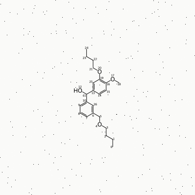 CCCCOCc1cccc(C(O)c2ccc(OC)c(OCCCC)c2)c1